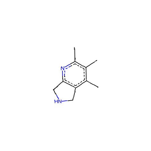 Cc1nc2c(c(C)c1C)CNC2